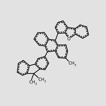 Cc1ccc2c(-c3cccc4c3oc3ccccc34)c3ccccc3c(-c3ccc4c(c3)-c3ccccc3C4(C)C)c2c1